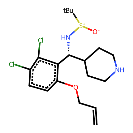 C=CCOc1ccc(Cl)c(Cl)c1[C@H](N[S+]([O-])C(C)(C)C)C1CCNCC1